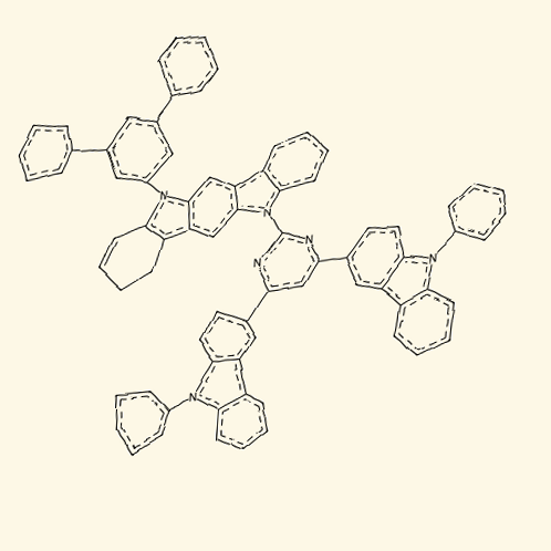 C1=Cc2c(c3cc4c(cc3n2-c2cc(-c3ccccc3)cc(-c3ccccc3)c2)c2ccccc2n4-c2nc(-c3ccc4c(c3)c3ccccc3n4-c3ccccc3)cc(-c3ccc4c(c3)c3ccccc3n4-c3ccccc3)n2)CC1